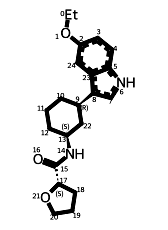 CCOc1ccc2[nH]cc([C@@H]3CCC[C@H](NC(=O)[C@@H]4CCCO4)C3)c2c1